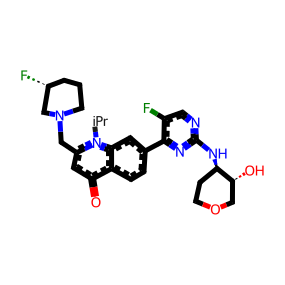 CC(C)n1c(CN2CCC[C@@H](F)C2)cc(=O)c2ccc(-c3nc(N[C@@H]4CCOC[C@H]4O)ncc3F)cc21